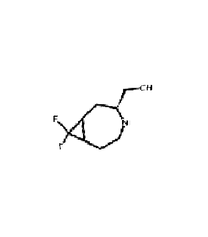 OC[C@@H]1CC2C(CCN1)C2(F)F